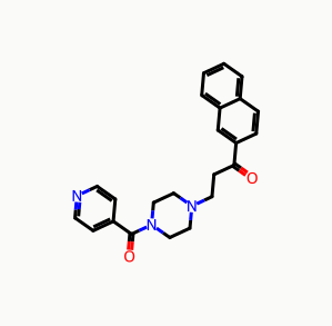 O=C(CCN1CCN(C(=O)c2ccncc2)CC1)c1ccc2ccccc2c1